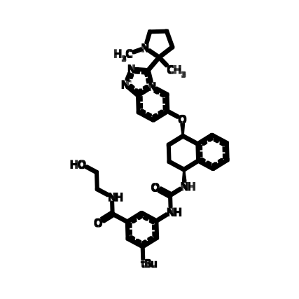 CN1CCCC1(C)c1nnc2ccc(O[C@@H]3CC[C@H](NC(=O)Nc4cc(C(=O)NCCO)cc(C(C)(C)C)c4)c4ccccc43)cn12